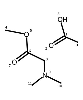 CC(=O)O.COC(=O)CN(C)C